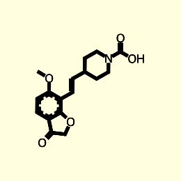 COc1ccc2c(c1/C=C/C1CCN(C(=O)O)CC1)OCC2=O